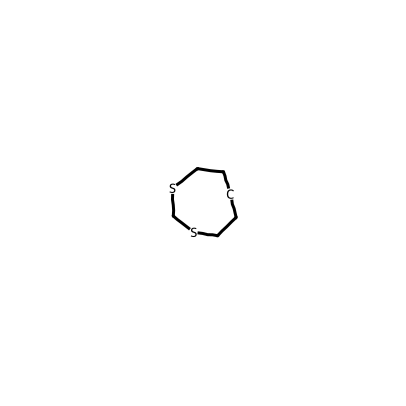 C1CCSCSCC1